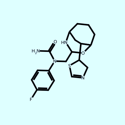 NC(=O)N(CC1NC2CCCC(O1)C(C1CN=CS1)C2)c1ccc(F)cc1